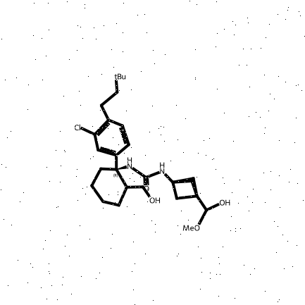 COC(O)C12CC(NC(=O)N[C@]3(c4ccc(CCC(C)(C)C)c(Cl)c4)CCCCC3CO)(C1)C2